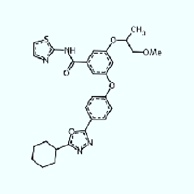 COCC(C)Oc1cc(Oc2ccc(-c3nnc(C4CCCCC4)o3)cc2)cc(C(=O)Nc2nccs2)c1